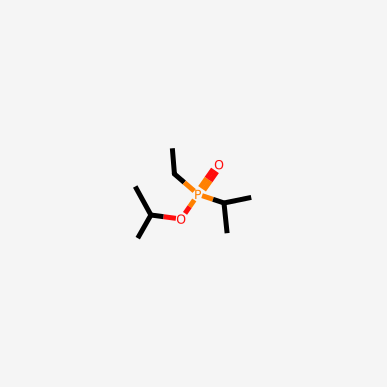 CCP(=O)(OC(C)C)C(C)C